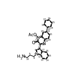 CC(=O)On1c(=O)c(-c2cn(CCCN)c3ccccc23)nc2ccc(-c3ccccc3)cc21